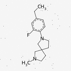 CCc1ccc(N2CCC3(CCN(C)C3)C2)c(F)c1